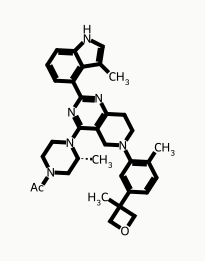 CC(=O)N1CCN(c2nc(-c3cccc4[nH]cc(C)c34)nc3c2CN(c2cc(C4(C)COC4)ccc2C)CC3)[C@H](C)C1